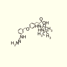 CC(C)(C)NC(=O)NC(Cc1ccc(OCc2cccc(NC=NN)c2)cc1)C(=O)O